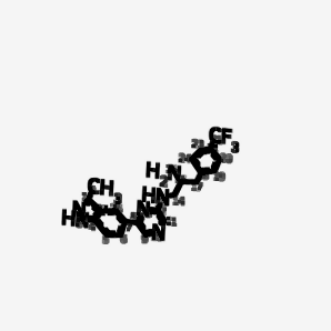 Cc1n[nH]c2ccc(-c3cncc(NCC(N)Cc4ccc(C(F)(F)F)cc4)n3)cc12